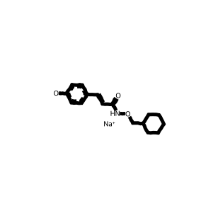 O=C(C=Cc1ccc([O-])cc1)NOCC1CCCCC1.[Na+]